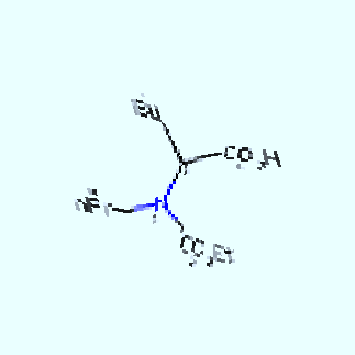 CCCN(C(=O)OCC)C(C(=O)O)C(C)CC